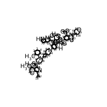 Cc1ccccc1[C@@H]1CN(C(C)c2cnc(C3CC3)c3c2C(C)(C)CCO3)CCN1C1CC2(CCN(c3ccc(C(=O)NS(=O)(=O)c4cc5c(c([N+](=O)[O-])c4)N[C@H](C4CCOCC4)CO5)c(N4c5cc6cc[nH]c6nc5O[C@H]5COCC[C@@H]54)c3)CC2)C1